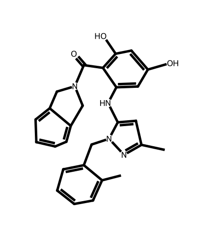 Cc1cc(Nc2cc(O)cc(O)c2C(=O)N2Cc3ccccc3C2)n(Cc2ccccc2C)n1